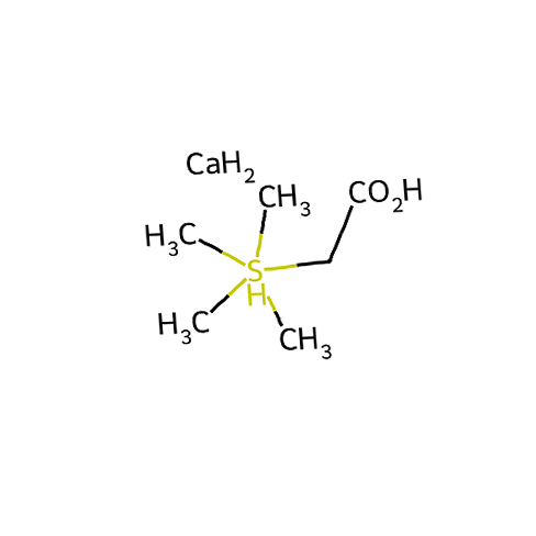 C[SH](C)(C)(C)CC(=O)O.[CaH2]